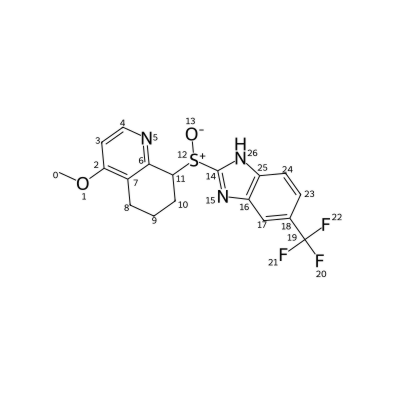 COc1ccnc2c1CCCC2[S+]([O-])c1nc2cc(C(F)(F)F)ccc2[nH]1